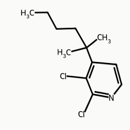 CCCCC(C)(C)c1ccnc(Cl)c1Cl